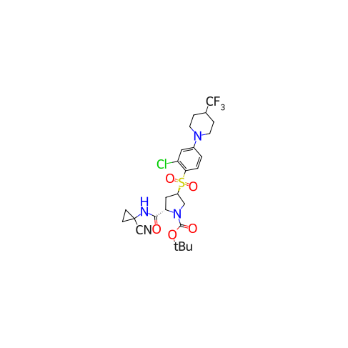 CC(C)(C)OC(=O)N1C[C@H](S(=O)(=O)c2ccc(N3CCC(C(F)(F)F)CC3)cc2Cl)C[C@H]1C(=O)NC1(C#N)CC1